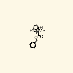 CNC1[C@@H]2CC[C@H]1CN(C(=O)OCc1ccccc1)C2